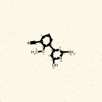 COc1c(C#N)cccc1-c1cc(O)nc(N)n1